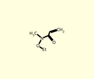 C=CC(=O)N(C)OCC